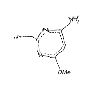 CCCc1nc(N)cc(OC)n1